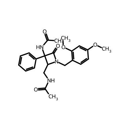 COc1ccc(CN2C(=O)C(NC(C)=O)(c3ccccc3)C2CNC(C)=O)c(OC)c1